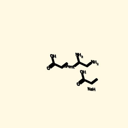 CCC(=O)O.CCC(=O)O.CCCCCC(N)CN.[NaH]